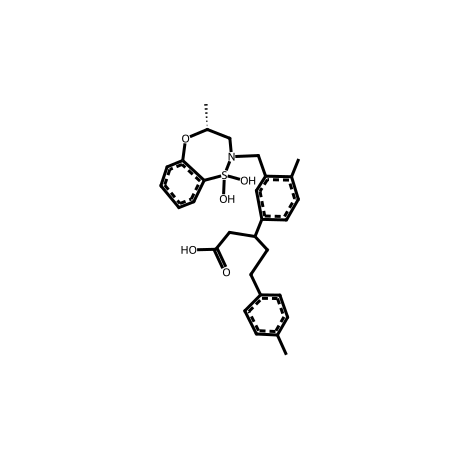 Cc1ccc(CCC(CC(=O)O)c2ccc(C)c(CN3C[C@@H](C)Oc4ccccc4S3(O)O)c2)cc1